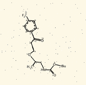 CC(CNC(=O)OC(C)(C)C)OCCC(=O)c1ccc(C(F)(F)F)cc1